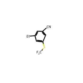 CCc1cc(C#N)cc(SC(F)(F)F)c1